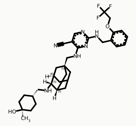 C[C@]1(O)CC[C@H](CN[C@@H]2[C@@H]3CC4C[C@H]2C[C@@](CNc2nc(NCc5ccccc5OCC(F)(F)F)ncc2C#N)(C4)C3)CC1